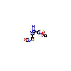 O=C(OC1CCCC1)N1CC=C(c2c[nH]c3ncc(-c4csc(CN5CCOCC5)c4)cc23)CC1